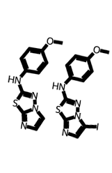 COc1ccc(Nc2nn3c(I)cnc3s2)cc1.COc1ccc(Nc2nn3ccnc3s2)cc1